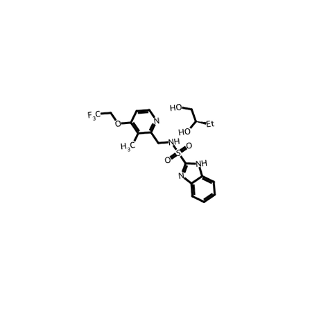 CC[C@@H](O)CO.Cc1c(OCC(F)(F)F)ccnc1CNS(=O)(=O)c1nc2ccccc2[nH]1